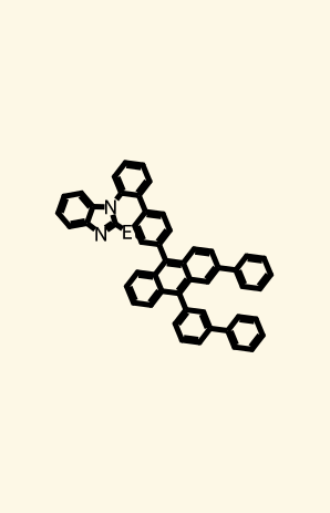 CCc1nc2ccccc2n1-c1ccccc1-c1ccc(-c2c3ccccc3c(-c3cccc(-c4ccccc4)c3)c3cc(-c4ccccc4)ccc23)cc1